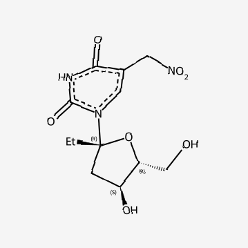 CC[C@]1(n2cc(C[N+](=O)[O-])c(=O)[nH]c2=O)C[C@H](O)[C@@H](CO)O1